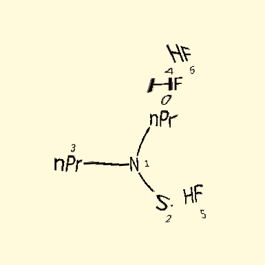 CCCN([S])CCC.F.F.F